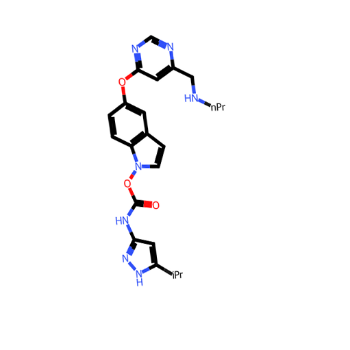 CCCNCc1cc(Oc2ccc3c(ccn3OC(=O)Nc3cc(C(C)C)[nH]n3)c2)ncn1